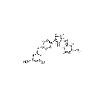 CCc1cc(N)cc(Sc2ccc(-c3nnc(Nc4cccc(C(F)(F)F)c4)[nH]3)cc2)c1